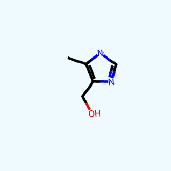 CC1=C(CO)N=C[N]1